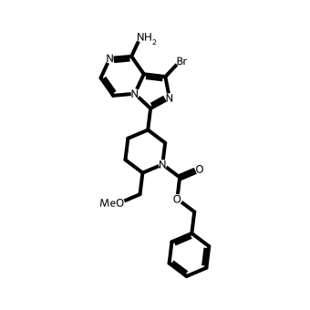 COCC1CCC(c2nc(Br)c3c(N)nccn23)CN1C(=O)OCc1ccccc1